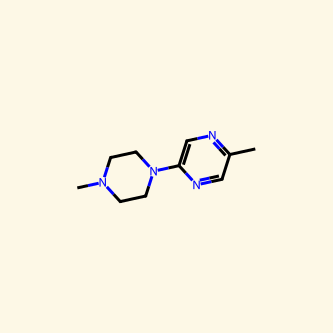 Cc1cnc(N2CCN(C)CC2)cn1